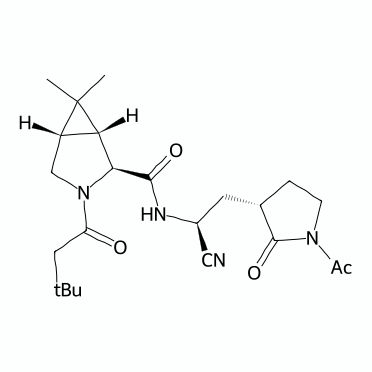 CC(=O)N1CC[C@@H](C[C@@H](C#N)NC(=O)[C@@H]2[C@@H]3[C@H](CN2C(=O)CC(C)(C)C)C3(C)C)C1=O